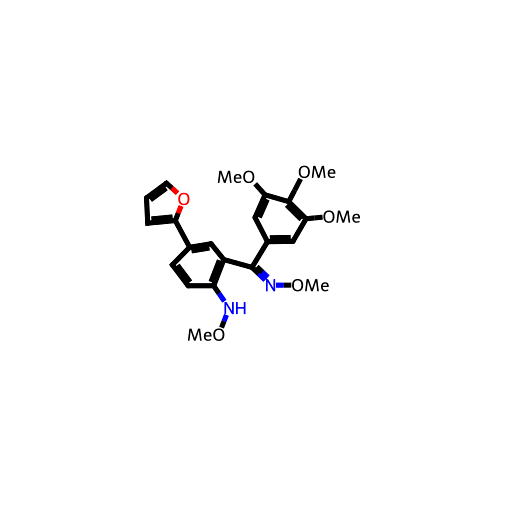 CO/N=C(\c1cc(OC)c(OC)c(OC)c1)c1cc(-c2ccco2)ccc1NOC